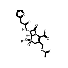 CC(=O)OCC1=C(C(=O)[O-])N2C(=O)[C@@H](NC(=O)Cc3cccs3)[C@@H]2S(=O)(=O)C1.[K+]